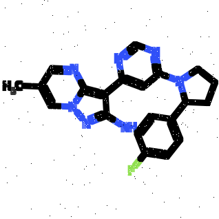 Cc1cnc2c(-c3cc(N4CCCC4c4ccc(F)cc4)ncn3)c(N)nn2c1